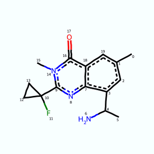 Cc1cc(C(C)N)c2nc(C3(F)CC3)n(C)c(=O)c2c1